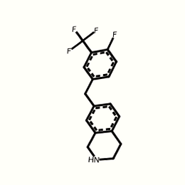 Fc1ccc(Cc2ccc3c(c2)CNCC3)cc1C(F)(F)F